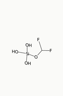 O[Si](O)(O)OC(F)F